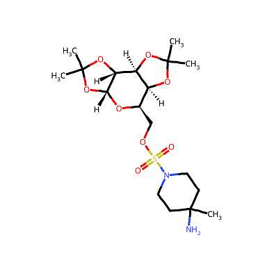 CC1(N)CCN(S(=O)(=O)OC[C@H]2O[C@@H]3OC(C)(C)O[C@@H]3[C@H]3OC(C)(C)O[C@H]32)CC1